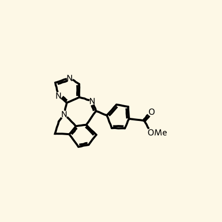 COC(=O)c1ccc(C2=Nc3cncnc3N3CCc4cccc2c43)cc1